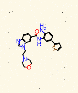 Nc1ccc(-c2cccs2)cc1NC(=O)c1ccc2ncn(CCN3CCOCC3)c2c1